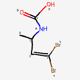 CC(C=C(Br)Br)NC(=O)O